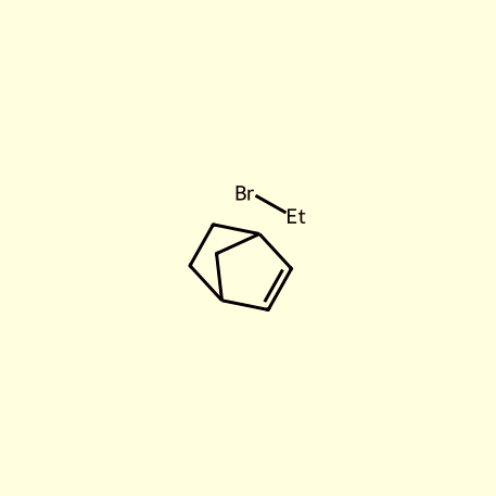 C1=CC2CCC1C2.CCBr